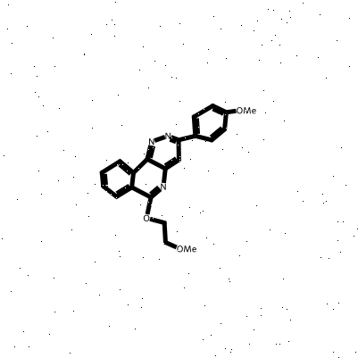 COCCOc1nc2cc(-c3ccc(OC)cc3)nnc2c2ccccc12